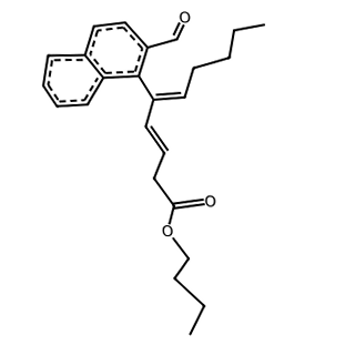 CCCC/C=C(/C=C/CC(=O)OCCCC)c1c(C=O)ccc2ccccc12